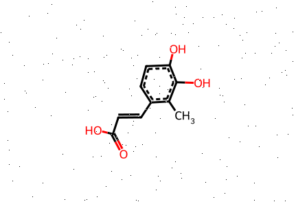 Cc1c(C=CC(=O)O)ccc(O)c1O